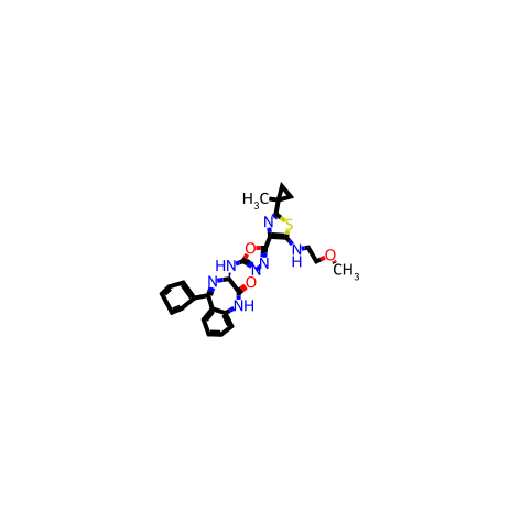 COCCNc1sc(C2(C)CC2)nc1-c1nnc(N[C@H]2N=C(c3ccccc3)c3ccccc3NC2=O)o1